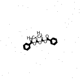 CSC(OC(=O)c1ccccc1)OC(OC(=O)c1ccccc1)SC